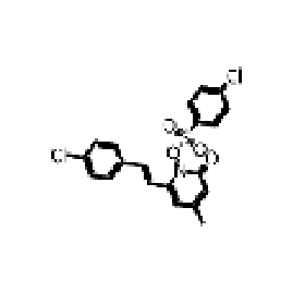 Cc1cc(C=Cc2ccc(Cl)cc2)n(OS(=O)(=O)c2ccc(Cl)cc2)c(=O)c1